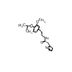 COc1cc(CCNC(=O)Cc2cccs2)ccc1OC(C)C